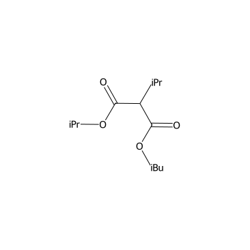 CCC(C)OC(=O)C(C(=O)OC(C)C)C(C)C